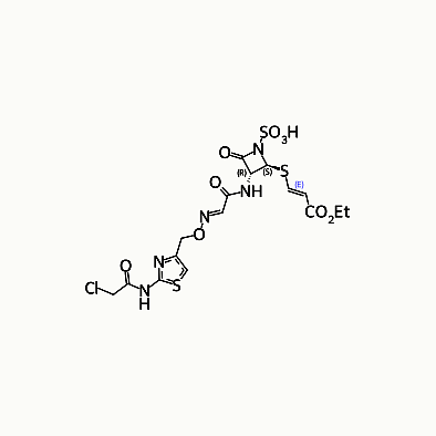 CCOC(=O)/C=C/S[C@H]1[C@H](NC(=O)C=NOCc2csc(NC(=O)CCl)n2)C(=O)N1S(=O)(=O)O